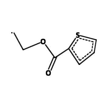 [CH2]COC(=O)c1cccs1